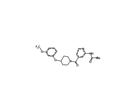 CC(C)(C)C(=O)Nc1cc(C(=O)N2CCC(Oc3cccc(OC(F)(F)F)c3)CC2)ccn1